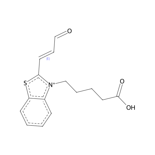 O=C/C=C/c1sc2ccccc2[n+]1CCCCC(=O)O